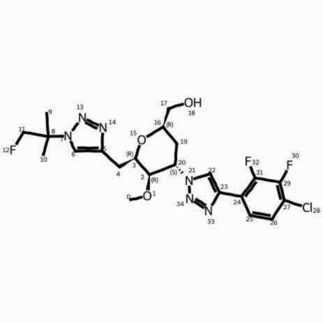 CO[C@H]1[C@@H](Cc2cn(C(C)(C)CF)nn2)O[C@@H](CO)C[C@@H]1n1cc(-c2ccc(Cl)c(F)c2F)nn1